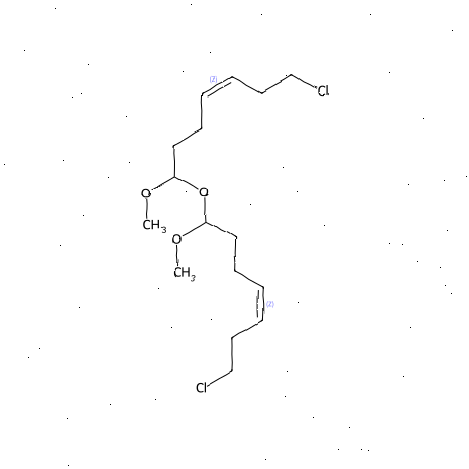 COC(CC/C=C\CCCl)OC(CC/C=C\CCCl)OC